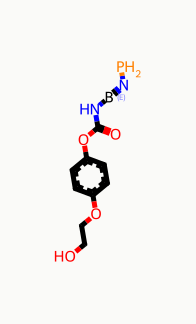 O=C(N/B=N/P)Oc1ccc(OCCO)cc1